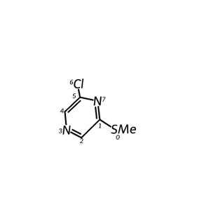 CSc1cncc(Cl)n1